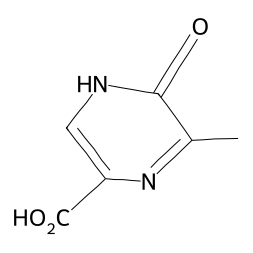 Cc1nc(C(=O)O)c[nH]c1=O